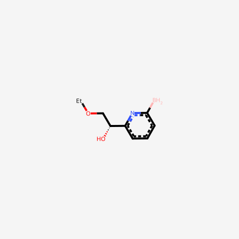 Bc1cccc([C@H](O)COCC)n1